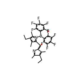 CCC1=C(C)/C(=C(\C)c2c(C)c(CC)c(C)n2B(c2c(F)c(F)c(F)c(F)c2F)c2c(F)c(F)c(F)c(F)c2F)N=C1C